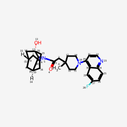 CC1(CC(=O)N[C@@]23C[C@@H]4C[C@@H](C[C@@](O)(C4)C2)C3)CCN(c2ccnc3ccc(F)cc23)CC1